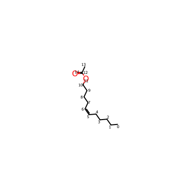 CCCCC/C=C\CCCCOC(C)=O